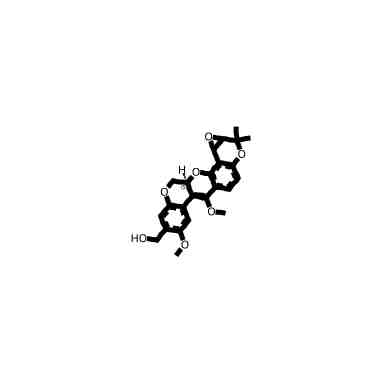 COC1=C2c3cc(OC)c(CO)cc3OC[C@H]2Oc2c1ccc1c2C2OC2C(C)(C)O1